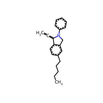 C=C=C1c2ccc(CCCCC)cc2CN1c1ccccc1